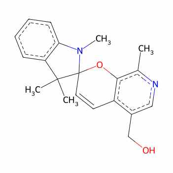 Cc1ncc(CO)c2c1OC1(C=C2)N(C)c2ccccc2C1(C)C